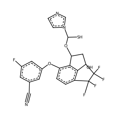 N#Cc1cc(F)cc(Oc2ccc3c4c2C(OC(S)n2ccnc2)CC4(O)C(F)(F)C3(F)F)c1